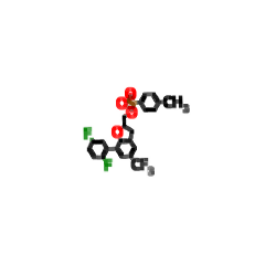 Cc1ccc(S(=O)(=O)OCC2Cc3cc(C(F)(F)F)cc(-c4cc(F)ccc4F)c3O2)cc1